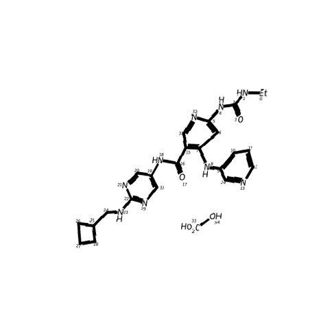 CCNC(=O)Nc1cc(Nc2cccnc2)c(C(=O)Nc2cnc(NCC3CCC3)nc2)cn1.O=C(O)O